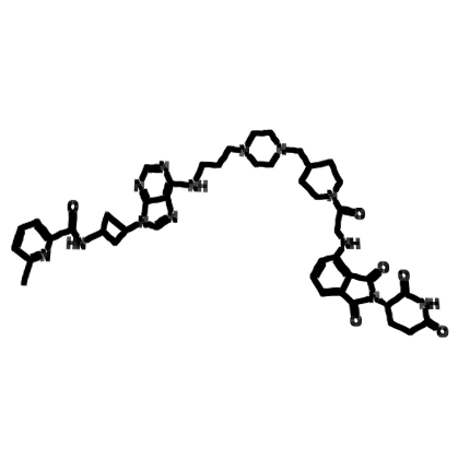 Cc1cccc(C(=O)NC2CC(n3cnc4c(NCCCN5CCN(CC6CCN(C(=O)CNc7cccc8c7C(=O)N([C@@H]7CCC(=O)NC7=O)C8=O)CC6)CC5)ncnc43)C2)n1